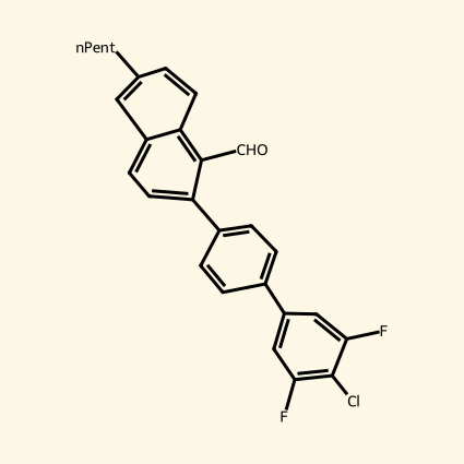 CCCCCc1ccc2c(C=O)c(-c3ccc(-c4cc(F)c(Cl)c(F)c4)cc3)ccc2c1